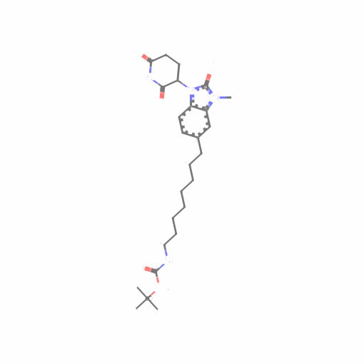 Cn1c(=O)n(C2CCC(=O)NC2=O)c2ccc(CCCCCCCCNC(=O)OC(C)(C)C)cc21